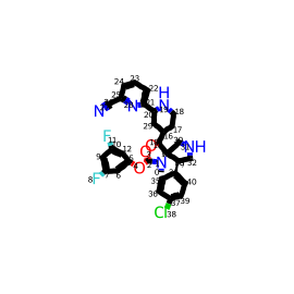 CN(C(=O)Oc1cc(F)cc(F)c1)[C@]1(C(=O)C2CCNC(c3cccc(C#N)n3)C2)CNC[C@H]1c1ccc(Cl)cc1